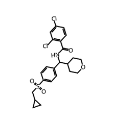 O=C(NC(c1ccc(S(=O)(=O)CC2CC2)cc1)C1CCOCC1)c1ccc(Cl)cc1Cl